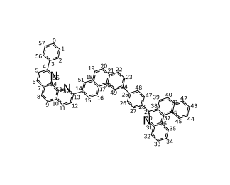 c1ccc(-c2ccc3ccc4ccc(-c5ccc6c(ccc7ccc(-c8ccc(-c9nc%10ccccc%10c%10c9ccc9ccccc9%10)cc8)cc76)c5)nc4c3n2)cc1